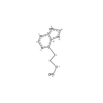 O=COCCc1ncnc2[nH]cnc12